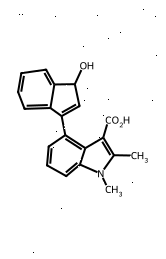 Cc1c(C(=O)O)c2c(C3=CC(O)c4ccccc43)cccc2n1C